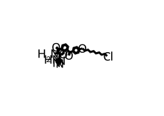 Nc1c(-c2nnn[nH]2)oc2c(C(=O)c3ccc(OCCCCCCCCCl)cc3)cccc2c1=O